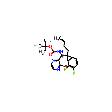 C=CCCC1([C@H](NC(=O)OC(C)(C)C)c2nccnc2Br)C2C=CC(F)=C(F)C21